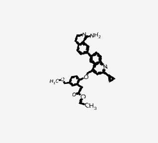 CCOC(=O)Cc1cc(COC)ccc1OCc1cc(C2CC2)nc2ccc(-c3ccc4ccnc(N)c4c3)cc12